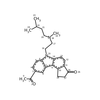 CC(=O)c1ccc2c(c1)c1c3c(ccc1n2CCN(C)CCC(C)C)C(=O)CC3